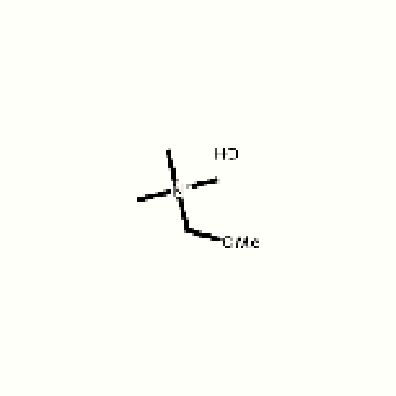 COC[N+](C)(C)C.[OH-]